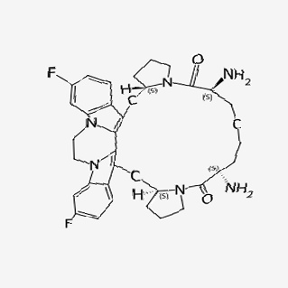 N[C@H]1CCCC[C@H](N)C(=O)N2CCC[C@H]2Cc2c3n(c4cc(F)ccc24)CCn2c-3c(c3ccc(F)cc32)C[C@@H]2CCCN2C1=O